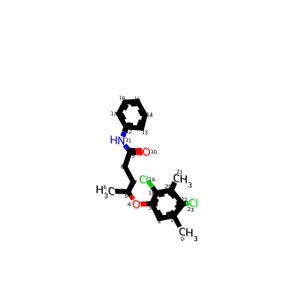 Cc1cc(OC(C)CCC(=O)Nc2ccccc2)c(Cl)c(C)c1Cl